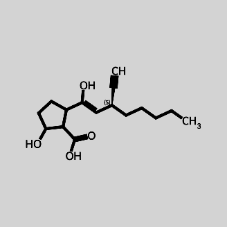 C#C[C@H](C=C(O)C1CCC(O)C1C(=O)O)CCCCC